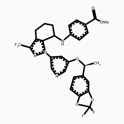 COC(=O)c1ccc(NC2CCCc3c(C(F)(F)F)nn(-c4cncc(O[C@@H](C)c5ccc6c(c5)OC(F)(F)O6)c4)c32)cc1